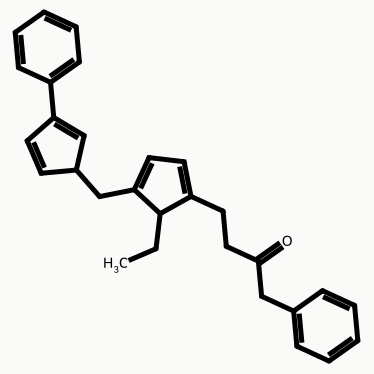 CCC1C(CCC(=O)Cc2ccccc2)=CC=C1CC1C=CC(c2ccccc2)=C1